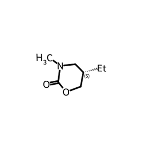 CC[C@@H]1COC(=O)N(C)C1